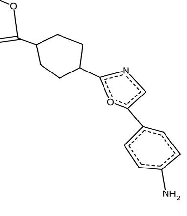 COC(=O)C1CCC(c2ncc(-c3ccc(N)cc3)o2)CC1